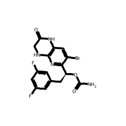 NC(=O)O[C@@H](Cc1cc(F)cc(F)c1)c1nc2c(cc1Br)NC(=O)CN2